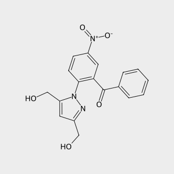 O=C(c1ccccc1)c1cc([N+](=O)[O-])ccc1-n1nc(CO)cc1CO